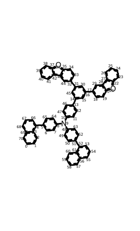 c1ccc2c(-c3ccc(N(c4ccc(-c5cc(-c6ccc7oc8ccccc8c7c6)cc(-c6ccc7oc8ccccc8c7c6)c5)cc4)c4ccc(-c5cccc6ccccc56)cc4)cc3)cccc2c1